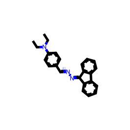 CCN(CC)c1ccc(/C=N/N=C2c3ccccc3-c3ccccc32)cc1